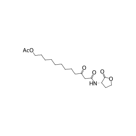 CC(=O)OCCCCCCCCCC(=O)CC(=O)N[C@H]1CCOC1=O